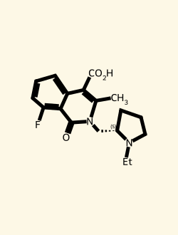 CCN1CCC[C@H]1Cn1c(C)c(C(=O)O)c2cccc(F)c2c1=O